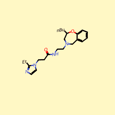 CCCCC1CN(CCNC(=O)CCn2ccnc2CC)Cc2ccccc2O1